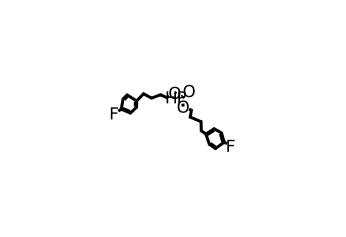 O=[PH](OCCCCc1ccc(F)cc1)OCCCCc1ccc(F)cc1